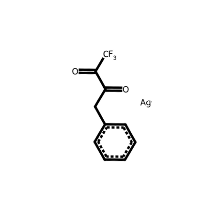 O=C(Cc1ccccc1)C(=O)C(F)(F)F.[Ag]